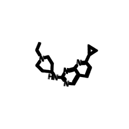 CCN1CCC(Nc2ncc3ccc(C4CC4)nc3n2)CC1